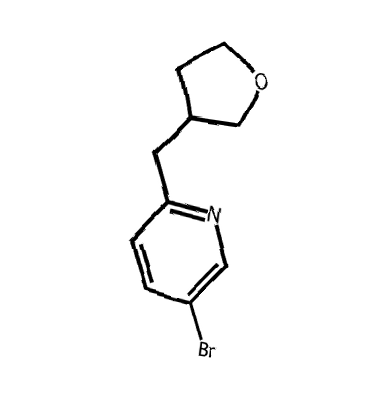 Brc1ccc(CC2CCOC2)nc1